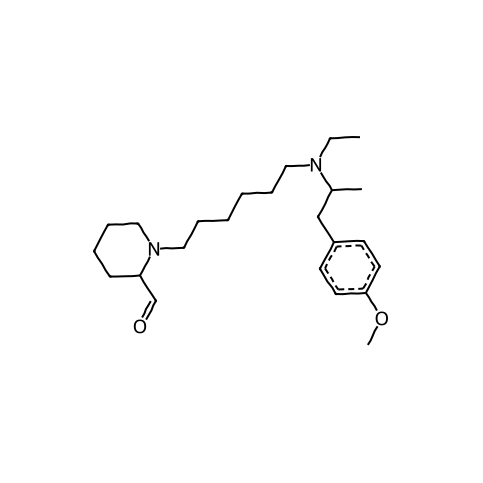 CCN(CCCCCCN1CCCCC1C=O)C(C)Cc1ccc(OC)cc1